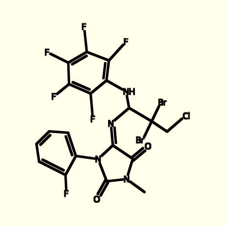 CN1C(=O)C(=NC(Nc2c(F)c(F)c(F)c(F)c2F)C(Br)(Br)CCl)N(c2ccccc2F)C1=O